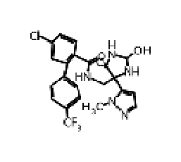 Cn1nccc1C1(CNC(=O)c2ccc(Cl)cc2-c2ccc(C(F)(F)F)cc2)NC(O)NC1=O